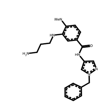 CNc1ccc(C(=O)Nc2cnn(Cc3ccccc3)c2)cc1NCCCN